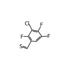 Fc1cc(C=S)c(F)c(Cl)c1F